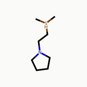 C[SH](C)CCN1CCCC1